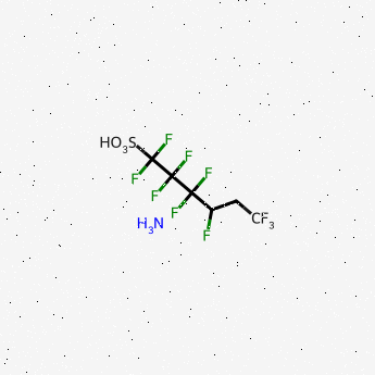 N.O=S(=O)(O)C(F)(F)C(F)(F)C(F)(F)C(F)CC(F)(F)F